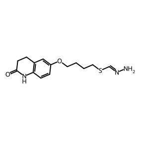 NN=CSCCCCOc1ccc2c(c1)CCC(=O)N2